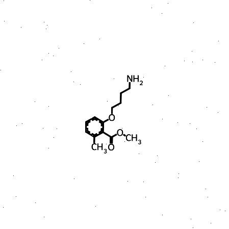 COC(=O)c1c(C)cccc1OCCCCN